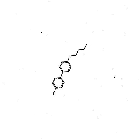 CCCCOc1ccc(-c2ccc(I)cc2)cc1